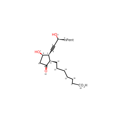 CCCCC[C@H](O)C#C[C@@H]1[C@H](O)CC(=O)[C@@H]1CCCCCCC(=O)O